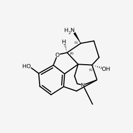 CN1CCC23c4c5ccc(O)c4O[C@H]2[C@@H](N)CC[C@@]3(O)C1C5